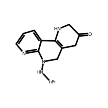 CCCNN1CC2=C(NCC(=O)C2)c2cccnc21